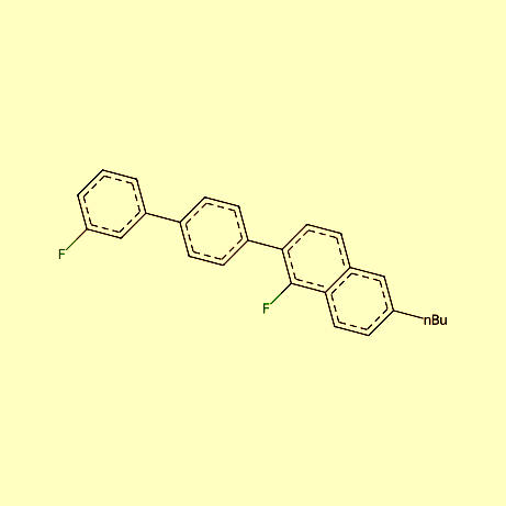 CCCCc1ccc2c(F)c(-c3ccc(-c4cccc(F)c4)cc3)ccc2c1